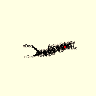 CCCCCCCCCCCCC/C=C/[C@@H](O)[C@H](CO[C@@H]1OC(CO)[C@@H](O[C@@H]2OC(CO)[C@H](O[C@@H]3OC(CO)[C@H](O)[C@H](O[C@@H]4OC(CO)[C@H](O)[C@H](O[C@@H]5OC(CO)[C@H](O)[C@H](O[C@]6(C(=O)O)CC(O)[C@@H](NC(C)=O)C([C@H](O)[C@H](O)CO)O6)C5O)C4NC(C)=O)C3O)[C@H](O)C2O)[C@H](O)C1O)NC(=O)CCCCCCCCCCCCCCCCC